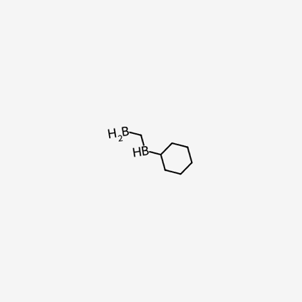 BCBC1CCCCC1